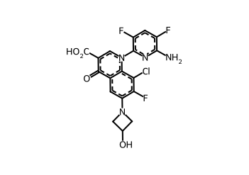 Nc1nc(-n2cc(C(=O)O)c(=O)c3cc(N4CC(O)C4)c(F)c(Cl)c32)c(F)cc1F